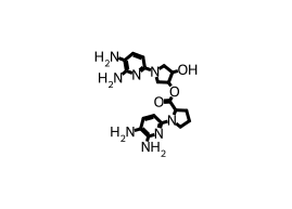 Nc1ccc(N2CC(O)C(OC(=O)C3CCCN3c3ccc(N)c(N)n3)C2)nc1N